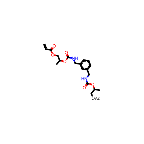 C=CC(=O)OCC(C)OC(=O)NCc1cccc(CNC(=O)OC(C)COC(C)=O)c1